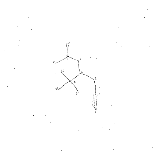 C=C(C)CC(CC#N)C(C)(C)C